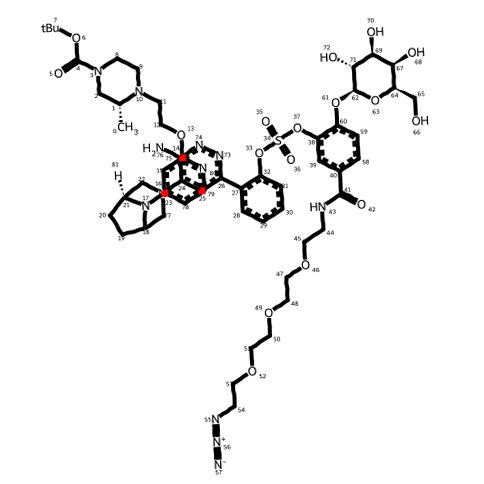 C[C@@H]1CN(C(=O)OC(C)(C)C)CCN1CCOc1cc(N2C3CC[C@H]2CN(c2cc(-c4ccccc4OS(=O)(=O)Oc4cc(C(=O)NCCOCCOCCOCCN=[N+]=[N-])ccc4O[C@@H]4O[C@H](CO)[C@H](O)[C@H](O)[C@H]4O)nnc2N)C3)ccn1